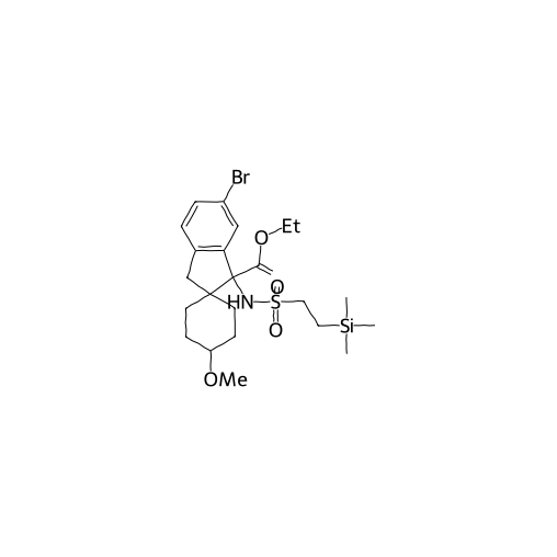 C=C(OCC)C1(NS(=O)(=O)CC[Si](C)(C)C)c2cc(Br)ccc2CC12CCC(OC)CC2